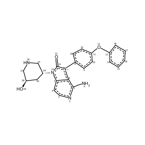 Nc1nccc2c1n(-c1ccc(Oc3ccccc3)cc1)c(=O)n2[C@H]1CNC[C@H](O)C1